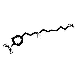 CCCCCCCNCCCc1ccc([N+](=O)[O-])cc1